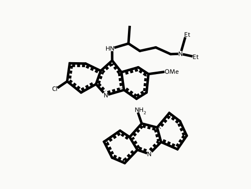 CCN(CC)CCCC(C)Nc1c2ccc(Cl)cc2nc2ccc(OC)cc12.Nc1c2ccccc2nc2ccccc12